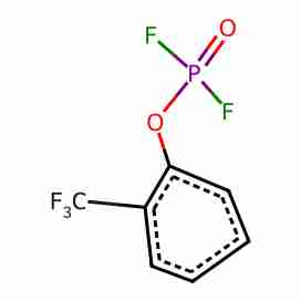 O=P(F)(F)Oc1ccccc1C(F)(F)F